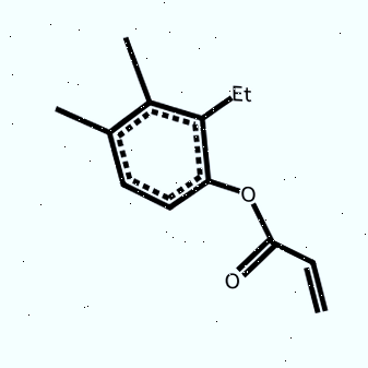 C=CC(=O)Oc1ccc(C)c(C)c1CC